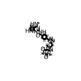 CNc1nc(NC(=O)c2ccc(-c3nnc(Cc4nc5c(c(=O)n(C)c(=O)n5C)n4C)s3)cc2)nc2[nH]cnc12